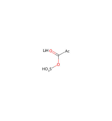 CC(=O)C(=O)OS(=O)(=O)O.[LiH]